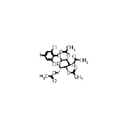 CC(=O)OC[C@@H]1O[C@@H](Oc2c(Cl)cc(I)cc2Cl)[C@H](OC(C)=O)[C@H](OC(C)=O)[C@H]1OC(C)=O